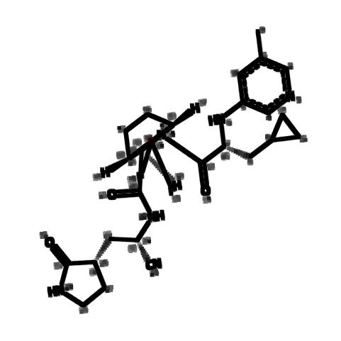 Cc1cncc(N[C@H](CC2CC2)C(=O)N2[C@H]3CC[C@@H]([C@@H]2C(=O)N[C@H](C#N)C[C@@H]2CCNC2=O)C(F)(F)C3)c1